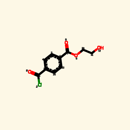 O=C(Cl)c1ccc(C(=O)OCCO)cc1